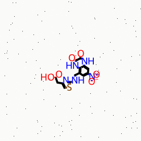 O=C(O)Cc1csc(NCc2cc([N+](=O)[O-])cc3[nH]c(=O)c(=O)[nH]c23)n1